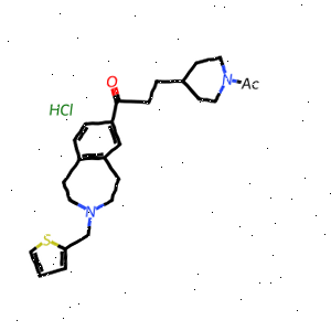 CC(=O)N1CCC(CCC(=O)c2ccc3c(c2)CCN(Cc2cccs2)CC3)CC1.Cl